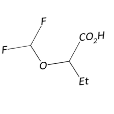 CCC(OC(F)F)C(=O)O